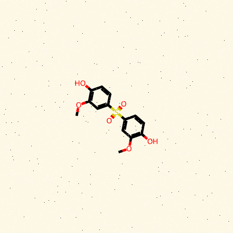 COc1cc(S(=O)(=O)c2ccc(O)c(OC)c2)ccc1O